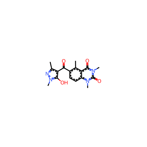 Cc1nn(C)c(O)c1C(=O)c1ccc2c(c1C)c(=O)n(C)c(=O)n2C